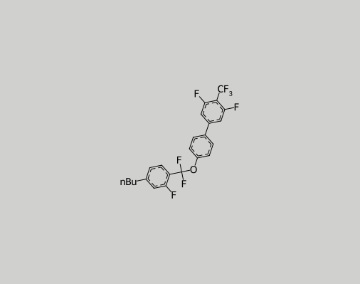 CCCCc1ccc(C(F)(F)Oc2ccc(-c3cc(F)c(C(F)(F)F)c(F)c3)cc2)c(F)c1